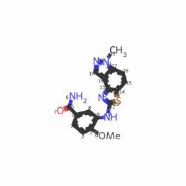 COc1ccc(C(N)=O)cc1Nc1nc2c(ccc3c2cnn3C)s1